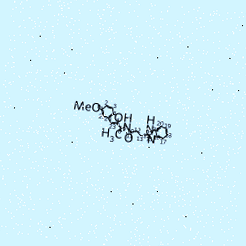 COc1ccc2oc(C(C)NC(=O)CCc3nc4ccccc4[nH]3)cc2c1